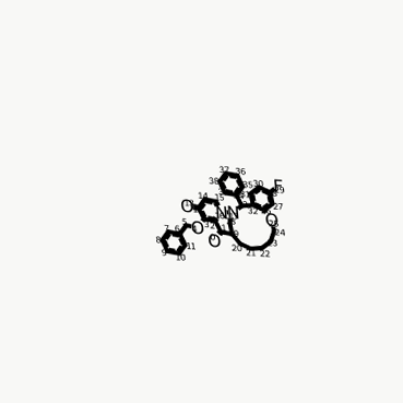 O=C1c2c(OCc3ccccc3)c(=O)ccn2N2CC1CCCCCOc1cc(F)ccc1C2c1ccccc1